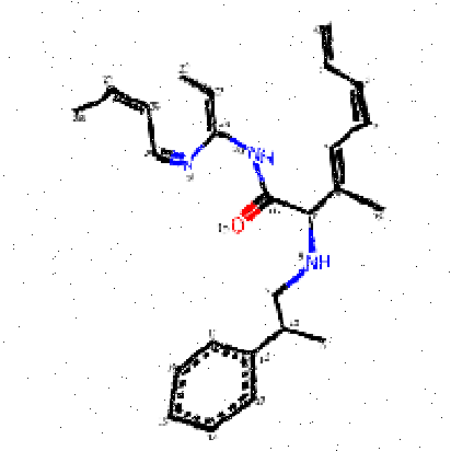 C=C/C=C\C=C(/C)[C@@H](NCC(C)c1ccccc1)C(=O)NC(=C/C)/N=C\C=C/C